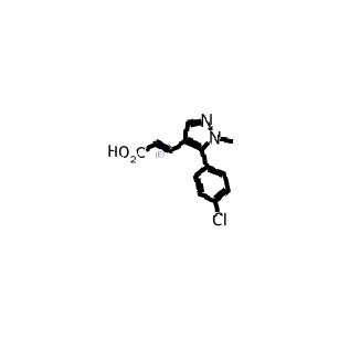 Cn1ncc(/C=C/C(=O)O)c1-c1ccc(Cl)cc1